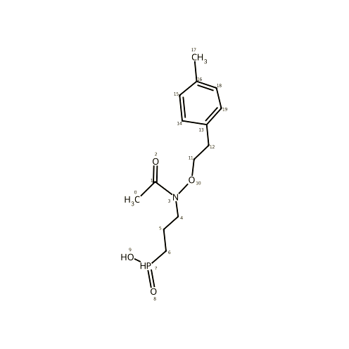 CC(=O)N(CCC[PH](=O)O)OCCc1ccc(C)cc1